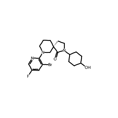 O=C1N(C2CCC(O)CC2)CC[C@]12CCCN(c1ncc(F)cc1Br)C2